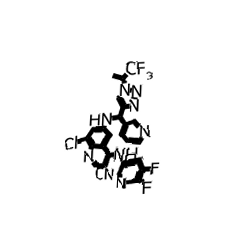 CC(n1cc(C(Nc2cc(Cl)c3ncc(C#N)c(Nc4cnc(F)c(F)c4)c3c2)c2cccnc2)nn1)C(F)(F)F